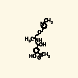 Cc1ccc(COCCC(C)NCC(O)c2ccc(O)c([S+](C)[O-])c2)cn1